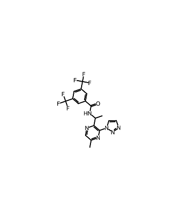 Cc1cnc(C(C)NC(=O)c2cc(C(F)(F)F)cc(C(F)(F)F)c2)c(-n2ccnn2)n1